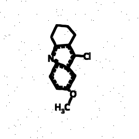 COc1ccc2nc3c(c(Cl)c2c1)CCCC3